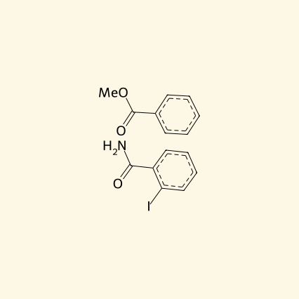 COC(=O)c1ccccc1.NC(=O)c1ccccc1I